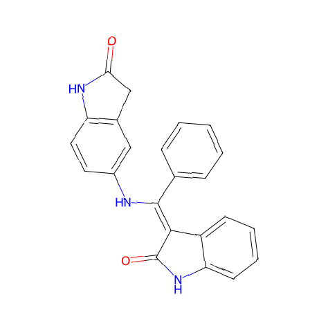 O=C1Cc2cc(NC(=C3C(=O)Nc4ccccc43)c3ccccc3)ccc2N1